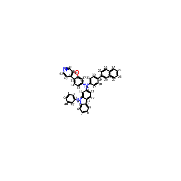 c1ccc(-n2c3ccccc3c3ccc(N(c4ccc(-c5ccc6ccccc6c5)cc4)c4ccc5c(c4)oc4cnccc45)cc32)cc1